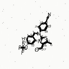 Cc1sc(N(CC2=CC[C@@H](OC(F)(F)P)C=C2)c2ccc(C#N)cc2)nc1C=O